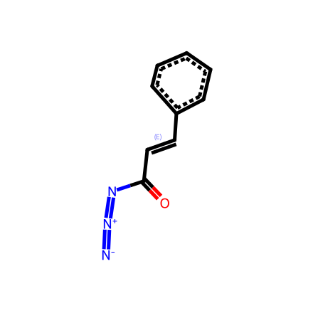 [N-]=[N+]=NC(=O)/C=C/c1ccccc1